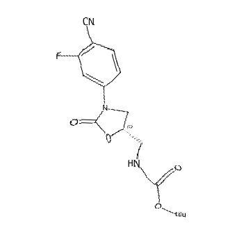 CC(C)(C)OC(=O)NC[C@H]1CN(c2ccc(C#N)c(F)c2)C(=O)O1